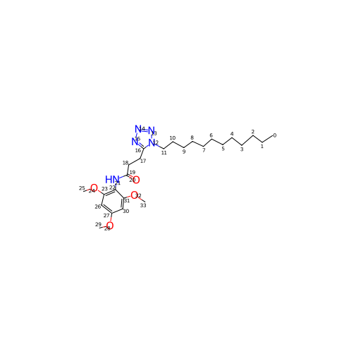 CCCCCCCCCCCCn1nnnc1CCC(=O)Nc1c(OC)cc(OC)cc1OC